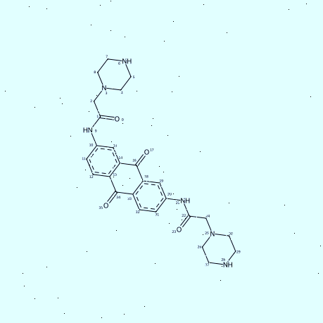 O=C(CN1CCNCC1)Nc1ccc2c(c1)C(=O)c1cc(NC(=O)CN3CCNCC3)ccc1C2=O